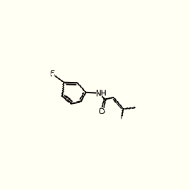 CC(C)=CC(=O)Nc1cccc(F)c1